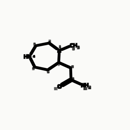 CN1CCNCCC1CC(N)=O